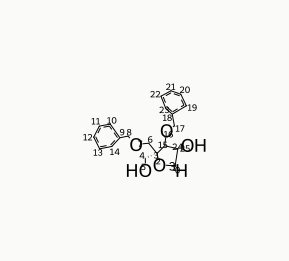 [3H][C@@H]1O[C@@](CO)(COCc2ccccc2)C(OCc2ccccc2)[C@@H]1O